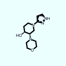 O[C@H]1CCN(c2cc[nH]n2)C[C@H]1N1CCOCC1